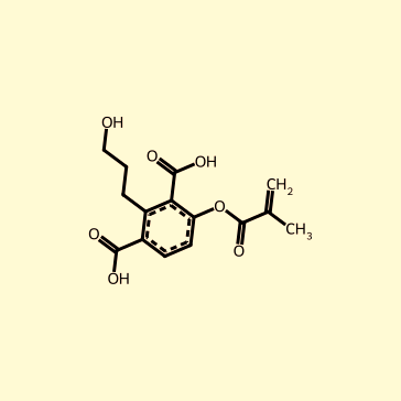 C=C(C)C(=O)Oc1ccc(C(=O)O)c(CCCO)c1C(=O)O